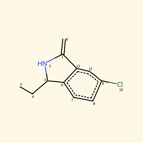 C=C1NC(CC)c2ccc(Cl)cc21